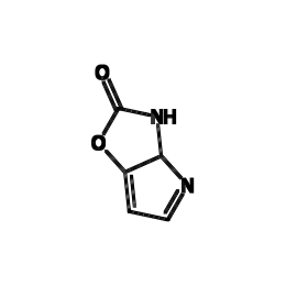 O=C1NC2N=CC=C2O1